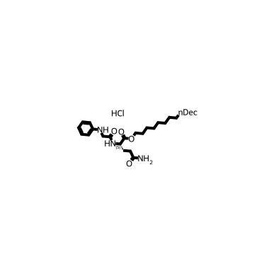 CCCCCCCCCCCCCCCCCCOC(=O)[C@H](CCC(N)=O)NC(=O)CNc1ccccc1.Cl